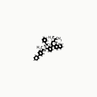 C=C(/N=C(\N=C(/C)c1ccccc1)c1cccc(C2=CCC(C(C)C)=Nc3c2ccc2cccnc32)c1)c1ccc(C2=CCCCC2)cc1